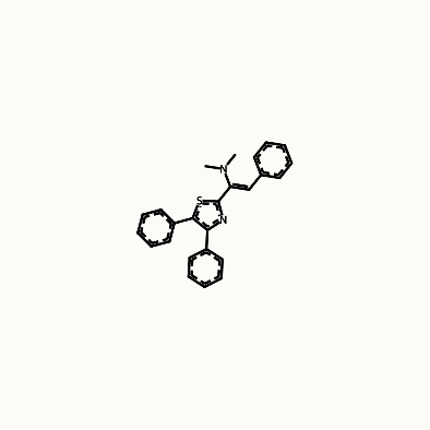 CN(C)C(=Cc1ccccc1)c1nc(-c2ccccc2)c(-c2ccccc2)s1